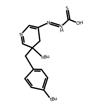 CCCCC1(Cc2ccc(C(C)(C)C)cc2)C=NC=C(N=[SH]C(O)=S)C1